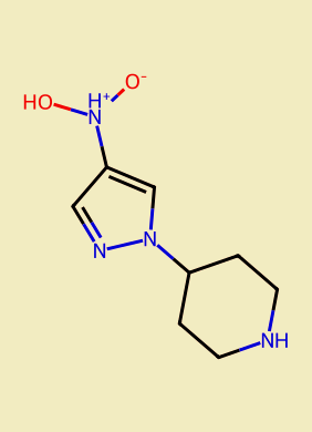 [O-][NH+](O)c1cnn(C2CCNCC2)c1